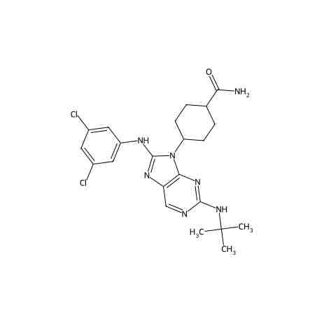 CC(C)(C)Nc1ncc2nc(Nc3cc(Cl)cc(Cl)c3)n(C3CCC(C(N)=O)CC3)c2n1